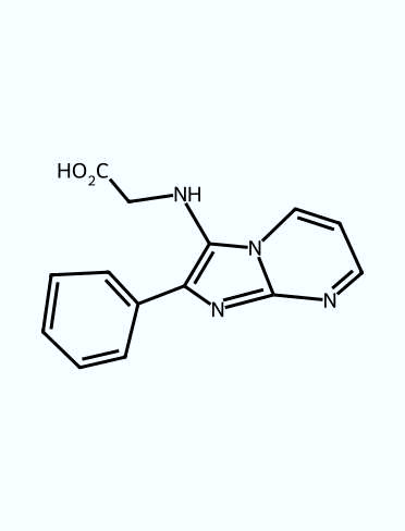 O=C(O)CNc1c(-c2ccccc2)nc2ncccn12